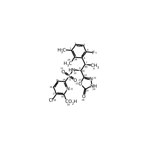 Cc1ccc(F)c([C@@H](C)[C@H](NS(=O)(=O)c2ccc(Cl)c(C(=O)O)n2)c2n[nH]c(=O)o2)c1C